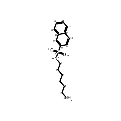 NCCCCCCNS(=O)(=O)c1ccc2ccccc2c1